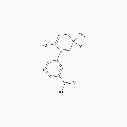 CC1(Cl)C=C(c2cncc(C(=O)O)c2)C(O)=CC1